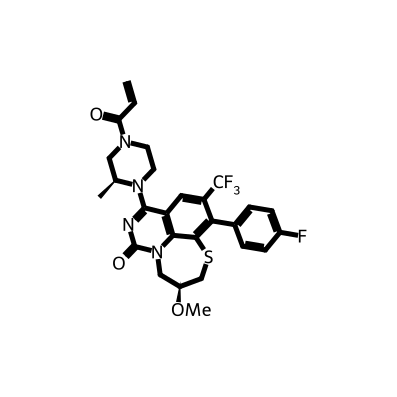 C=CC(=O)N1CCN(c2nc(=O)n3c4c(c(-c5ccc(F)cc5)c(C(F)(F)F)cc24)SC[C@@H](OC)C3)[C@@H](C)C1